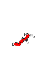 CCc1cn(Cc2cccc(Cn3cc(C[C@@H](N)C(=O)NCC(=O)NCc4ccc(C(=N)N)cc4)nn3)c2)nn1